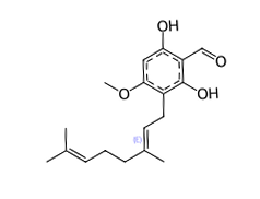 COc1cc(O)c(C=O)c(O)c1C/C=C(\C)CCC=C(C)C